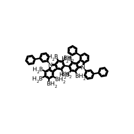 Bc1c(B)c(B)c2c(c1B)c1c(B)c(-c3c(B)c(B)c4c(c3B)c3c(-c5ccccc5)cccc3n4-c3cccc(-c4ccccc4)c3)c(B)c(B)c1n2-c1cccc(-c2ccccc2)c1